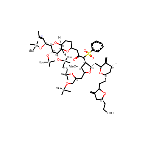 C=C1C[C@H](CCC=O)OC1CC[C@H]1C[C@@H](C)C(=C)C(C[C@@H]2OC(C[C@@H](CO[Si](C)(C)C(C)(C)C)O[Si](C)(C)C(C)(C)C)[C@H](OC)[C@H]2C(C(=O)CC2CC[C@@H]3O[C@@H]([C@H](/C=C/C)O[Si](C)(C)C(C)(C)C)[C@@H](O[Si](C)(C)C(C)(C)C)[C@@H](O[Si](C)(C)C(C)(C)C)[C@H]3O2)S(=O)(=O)c2ccccc2)O1